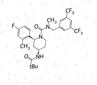 Cc1cc(F)ccc1[C@@H]1C[C@H](NC(=O)C(C)(C)C)CCN1C(=O)N(C)Cc1cc(C(F)(F)F)cc(C(F)(F)F)c1